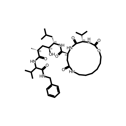 CC(C)C[C@H](NC(=O)[C@@H]1CC(=O)NCCCCCCOC(=O)N[C@@H](C(C)C)C(=O)N1)[C@@H](O)C[C@@H](C)C(=O)NC(C(=O)NCc1ccccc1)C(C)C